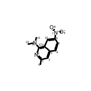 Cc1cc2ccc([N+](=O)[O-])cc2c(N(C)C)n1